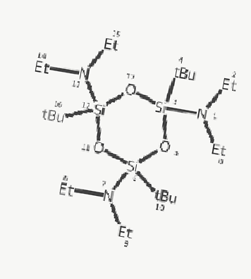 CCN(CC)[Si]1(C(C)(C)C)O[Si](N(CC)CC)(C(C)(C)C)O[Si](N(CC)CC)(C(C)(C)C)O1